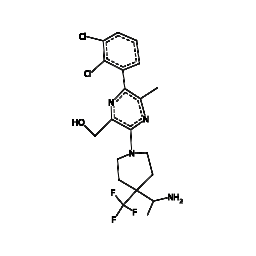 Cc1nc(N2CCC(C(C)N)(C(F)(F)F)CC2)c(CO)nc1-c1cccc(Cl)c1Cl